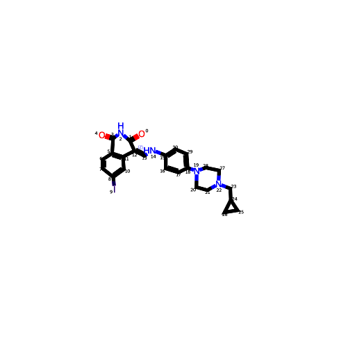 O=C1NC(=O)c2ccc(I)cc2/C1=C/Nc1ccc(N2CCN(CC3CC3)CC2)cc1